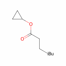 CCC(C)CCC(=O)OC1CC1